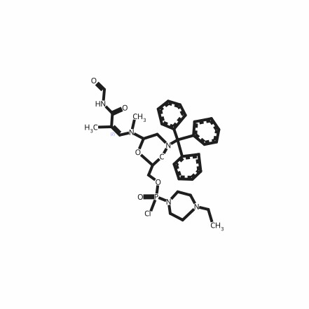 CCN1CCN(P(=O)(Cl)OCC2CN(C(c3ccccc3)(c3ccccc3)c3ccccc3)CC(N(C)/C=C(/C)C(=O)NC=O)O2)CC1